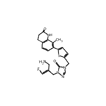 Cc1c(-c2ccc(Cn3cnn(C/C(=C/F)CN)c3=O)s2)ccc2c1NC(=O)CC2